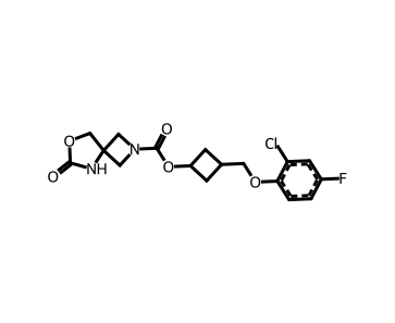 O=C1NC2(CO1)CN(C(=O)OC1CC(COc3ccc(F)cc3Cl)C1)C2